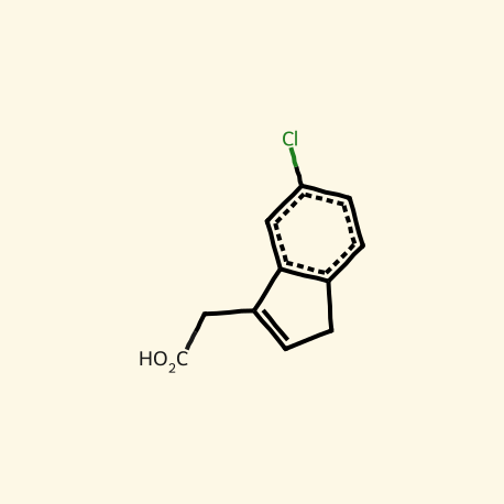 O=C(O)CC1=CCc2ccc(Cl)cc21